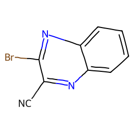 N#Cc1nc2ccccc2nc1Br